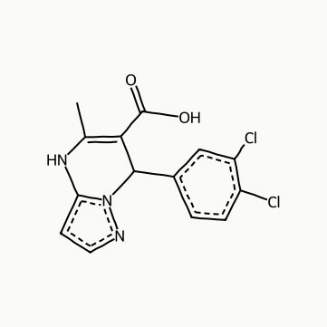 CC1=C(C(=O)O)C(c2ccc(Cl)c(Cl)c2)n2nccc2N1